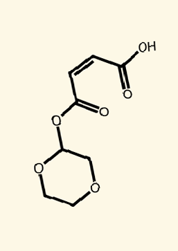 O=C(O)/C=C\C(=O)OC1COCCO1